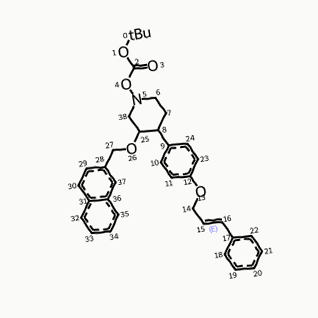 CC(C)(C)OC(=O)ON1CCC(c2ccc(OC/C=C/c3ccccc3)cc2)C(OCc2ccc3ccccc3c2)C1